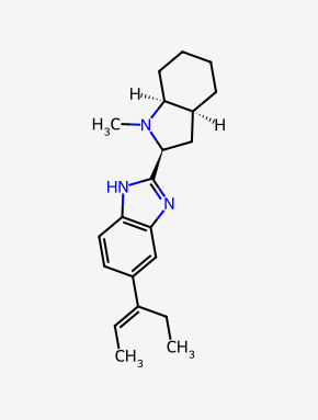 C/C=C(\CC)c1ccc2[nH]c([C@@H]3C[C@@H]4CCCC[C@@H]4N3C)nc2c1